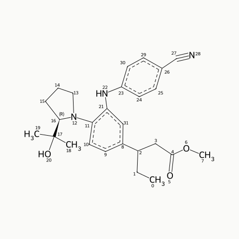 CCC(CC(=O)OC)c1ccc(N2CCC[C@@H]2C(C)(C)O)c(Nc2ccc(C#N)cc2)c1